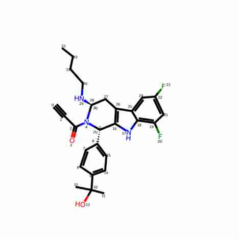 C#CC(=O)N1[C@@H](c2ccc(C(C)(C)O)cc2)c2[nH]c3c(F)cc(F)cc3c2C[C@@H]1NCCCC